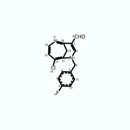 O=CC1=CN(Cc2ccc(F)cc2)C2=C(Cl)C=CN=C1C2